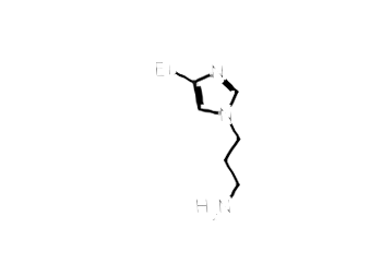 CCc1cn(CCCN)cn1